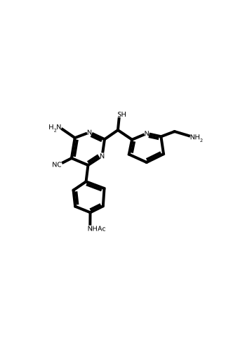 CC(=O)Nc1ccc(-c2nc(C(S)c3cccc(CN)n3)nc(N)c2C#N)cc1